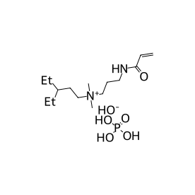 C=CC(=O)NCCC[N+](C)(C)CCC(CC)CC.O=P(O)(O)O.[OH-]